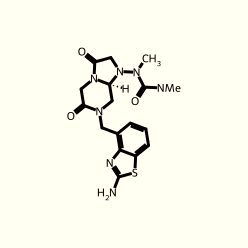 CNC(=O)N(C)N1CC(=O)N2CC(=O)N(Cc3cccc4sc(N)nc34)C[C@@H]21